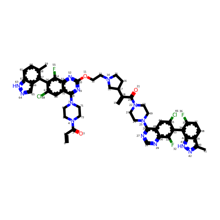 C=CC(=O)N1CCN(c2nc(OCCN3CCC(C(=C)C(=O)N4CCN(c5ncnc6c(F)c(-c7c(F)ccc8c(C)n[nH]c78)c(Cl)cc56)CC4)C3)nc3c(F)c(-c4c(C)ccc5[nH]ncc45)c(Cl)cc23)CC1